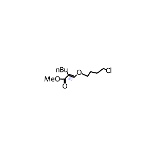 CCCC/C(=C\OCCCCCl)C(=O)OC